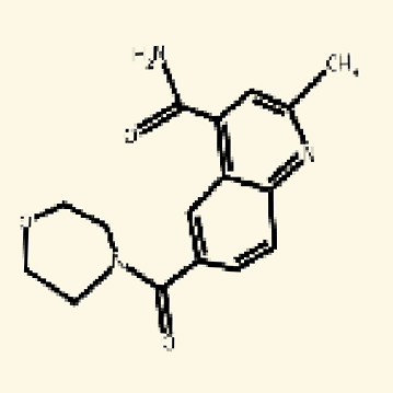 Cc1cc(C(N)=O)c2cc(C(=O)N3CCOCC3)ccc2n1